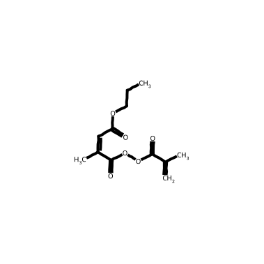 C=C(C)C(=O)OOC(=O)/C(C)=C\C(=O)OCCC